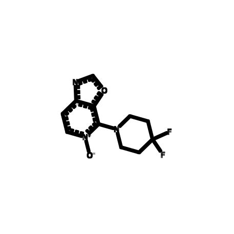 [O-][n+]1ccc2ncoc2c1N1CCC(F)(F)CC1